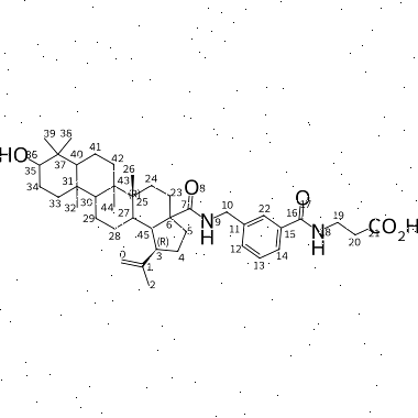 C=C(C)[C@@H]1CCC2(C(=O)NCc3cccc(C(=O)NCCC(=O)O)c3)CC[C@]3(C)C(CCC4C5(C)CCC(O)C(C)(C)C5CCC43C)C12